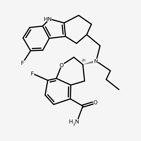 CCCN(CC1CCc2[nH]c3ccc(F)cc3c2C1)[C@H]1COc2c(F)ccc(C(N)=O)c2C1